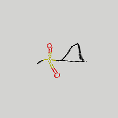 CS(=O)(=O)C1[CH]C1